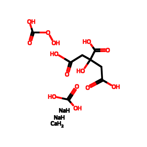 O=C(O)CC(O)(CC(=O)O)C(=O)O.O=C(O)O.O=C(O)OO.[CaH2].[NaH].[NaH]